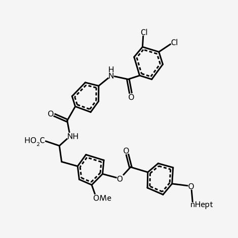 CCCCCCCOc1ccc(C(=O)Oc2ccc(CC(NC(=O)c3ccc(NC(=O)c4ccc(Cl)c(Cl)c4)cc3)C(=O)O)cc2OC)cc1